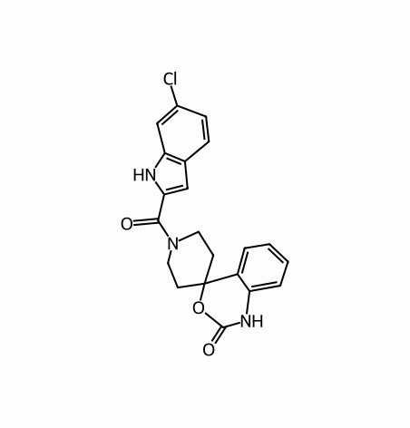 O=C1Nc2ccccc2C2(CCN(C(=O)c3cc4ccc(Cl)cc4[nH]3)CC2)O1